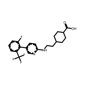 O=C(O)C1CCC(CCNc2ccc(-c3c(F)cccc3C(F)(F)F)cn2)CC1